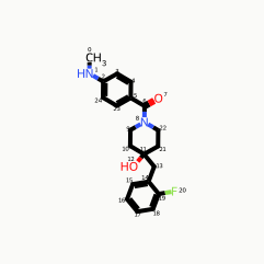 CNc1ccc(C(=O)N2CCC(O)(Cc3ccccc3F)CC2)cc1